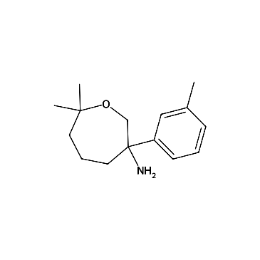 Cc1cccc(C2(N)CCCC(C)(C)OC2)c1